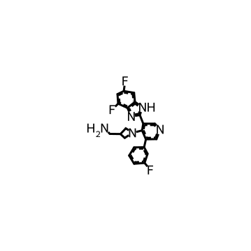 NCC1CN(c2c(-c3cccc(F)c3)cncc2-c2nc3c(F)cc(F)cc3[nH]2)C1